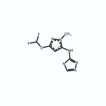 Cn1nc(OC(F)F)cc1NC1=NN=C[N]1